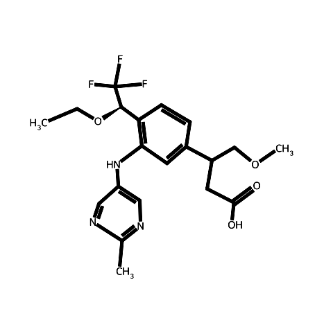 CCO[C@H](c1ccc(C(COC)CC(=O)O)cc1Nc1cnc(C)nc1)C(F)(F)F